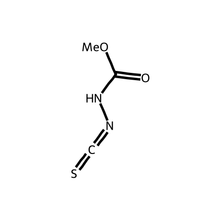 COC(=O)NN=C=S